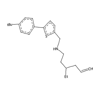 C=CCC(CC)CCNCc1ccc(-c2ccc(C(C)(C)C)cc2)s1